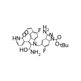 CC(C)(C)OC(=O)N1N=C(N)C2C=C(Cn3c(C(N)O)c(-c4ccc[nH]c4=O)c4c5occc5c(F)cc43)C(F)=CC21